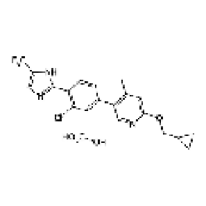 Cc1cc(OCC2CC2)ncc1-c1ccc(-c2ncc(C(F)(F)F)[nH]2)c(Cl)c1.O=C(O)O